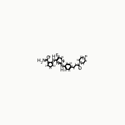 CN1CCN(C(=O)CCc2ccc(Nc3ncc(F)c(N[C@H]4CCC[C@H]4C(N)=O)n3)cc2)CC1